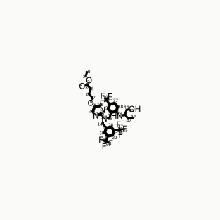 CCOC(=O)CCCOc1cnc(N(Cc2cc(C(F)(F)F)cc(C(F)(F)F)c2)Cc2cc(C(F)(F)F)ccc2NC(CC)CO)nc1